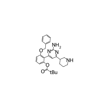 CC(C)(C)C(=O)Oc1cccc(OCc2ccccc2)c1-c1cc(C2CCCNC2)nc(N)n1